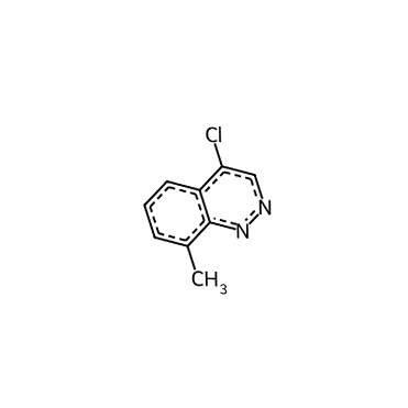 Cc1cccc2c(Cl)cnnc12